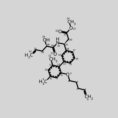 C=CCCCOc1cc(C)cc(C)c1-c1cccc([C@H](CC(=O)OC)NC(=O)[C@H](O)CC=C)c1